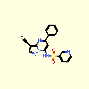 C#Cc1cnn2c(NS(=O)(=O)c3cccnc3)cc(-c3ccccc3)nc12